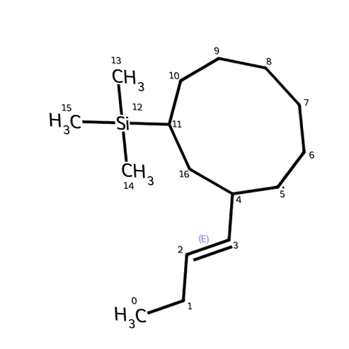 CC/C=C/C1[CH]CCCCCC([Si](C)(C)C)C1